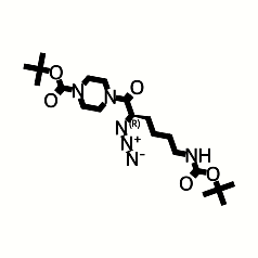 CC(C)(C)OC(=O)NCCCC[C@@H](N=[N+]=[N-])C(=O)N1CCN(C(=O)OC(C)(C)C)CC1